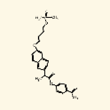 CC(C(=O)Oc1ccc(C(N)=S)cc1)c1ccc2cc(OCCCCOP(C)(C)=O)ccc2c1